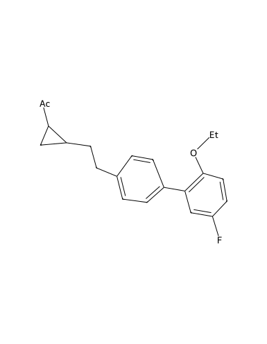 CCOc1ccc(F)cc1-c1ccc(CCC2CC2C(C)=O)cc1